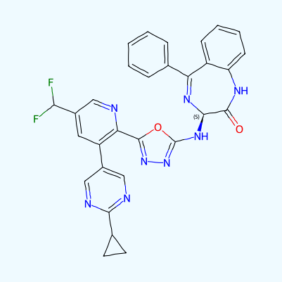 O=C1Nc2ccccc2C(c2ccccc2)=N[C@@H]1Nc1nnc(-c2ncc(C(F)F)cc2-c2cnc(C3CC3)nc2)o1